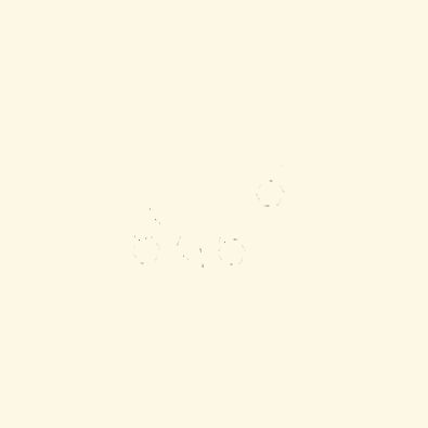 CC1CN(c2ncccc2C(=O)NS(=O)(=O)c2cccc(OCc3ccc(C(C)(C)C)cc3)n2)C(C)(C)C1